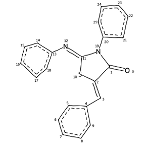 O=C1/C(=C/c2ccccc2)S/C(=N\c2ccccc2)N1c1ccccc1